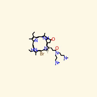 CCC1=C(C)c2cc3[nH]c(c(C)c3CC)c(Br)c3nc(c4c5[nH]c(cc1n2)c(C)c5C(=O)C4)[C@@H](CCC(=O)N(CCCN(C)C)CCCN(C)C)[C@@H]3C